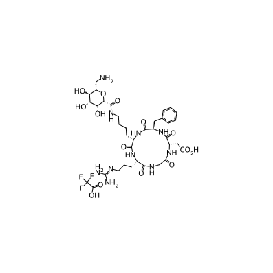 NC[C@@H]1O[C@H](C(=O)NCCCC[C@@H]2NC(=O)[C@@H](Cc3ccccc3)NC(=O)[C@H](CC(=O)O)NC(=O)CNC(=O)[C@H](CCCN=C(N)N)NC2=O)[C@H](O)[C@H](O)[C@H]1O.O=C(O)C(F)(F)F